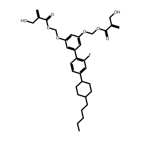 C=C(CO)C(=O)OCOc1cc(OCOC(=O)C(=C)CO)cc(-c2ccc(C3CCC(CCCCC)CC3)cc2F)c1